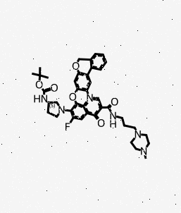 CN1CCN(CCCNC(=O)c2cn3c4c(c(N5CC[C@H](NC(=O)OC(C)(C)C)C5)c(F)cc4c2=O)Oc2cc4c(cc2-3)-c2ccccc2CO4)CC1